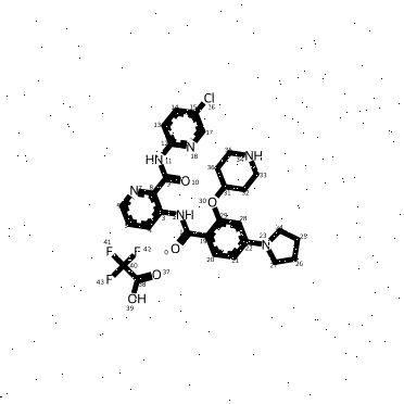 O=C(Nc1cccnc1C(=O)Nc1ccc(Cl)cn1)c1ccc(N2CCCC2)cc1OC1CCNCC1.O=C(O)C(F)(F)F